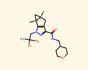 CC(C)(O)Cn1nc(C(=O)NCC2CCOCC2)c2c1[C@@H]1C[C@@H]1C2